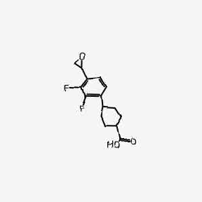 O=C(O)C1CCC(c2ccc(C3CO3)c(F)c2F)CC1